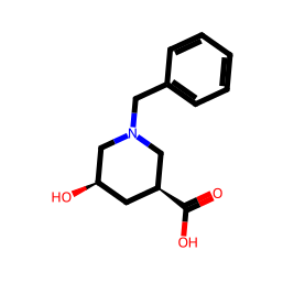 O=C(O)[C@H]1C[C@@H](O)CN(Cc2ccccc2)C1